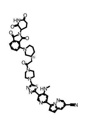 CNc1cc(-c2ccc3cc(C#N)cnn23)ncc1-c1nnc(N2CCN(C(=O)C[C@@H]3CCCN(c4cccc5c4C(=O)N(C4CCC(=O)NC4=O)C5=O)C3)CC2)s1